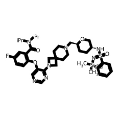 CC(C)N(C(=O)c1cc(F)ccc1Oc1cncnc1N1CC2(CCN(C[C@@H]3CC[C@@H](NS(=O)(=N[Si](C)(C)C(C)(C)C)c4ccccc4)CO3)CC2)C1)C(C)C